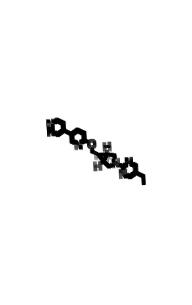 CCc1cnc(N2C[C@@H]3[C@@H](COc4ccc(-c5ccnnc5)cn4)[C@@H]3C2)nc1